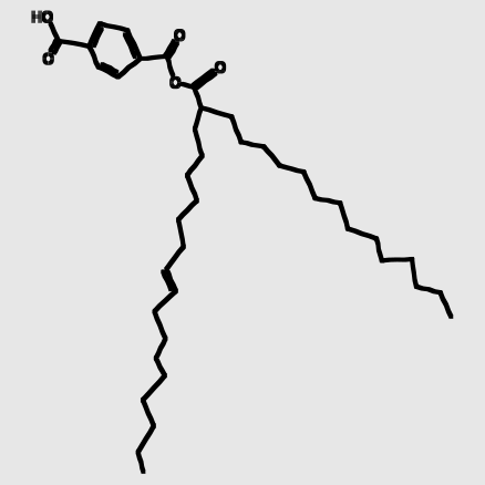 CCCCCCCCC=CCCCCCCC(CCCCCCCCCCCCCC)C(=O)OC(=O)c1ccc(C(=O)O)cc1